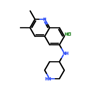 Cc1cc2cc(NC3CCNCC3)ccc2nc1C.Cl